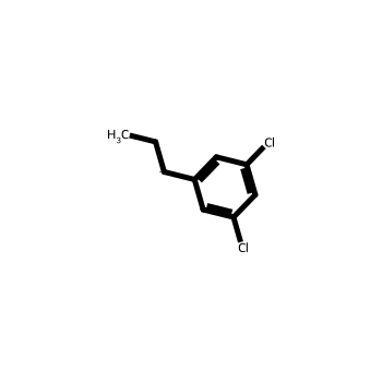 CC[CH]c1cc(Cl)cc(Cl)c1